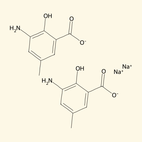 Cc1cc(N)c(O)c(C(=O)[O-])c1.Cc1cc(N)c(O)c(C(=O)[O-])c1.[Na+].[Na+]